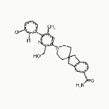 Cc1nc(N2CCC3(CC2)Cc2ccc(C(N)=O)cc2C3)c(CO)nc1-c1cccc(Cl)c1Cl